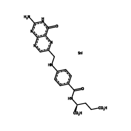 Nc1nc2ncc(CNc3ccc(C(=O)N[C@@H](CCC(=O)O)C(=O)O)cc3)nc2c(=O)[nH]1.[Sn]